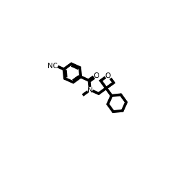 CN(CC1(C2CCCCC2)COC1)C(=O)c1ccc(C#N)cc1